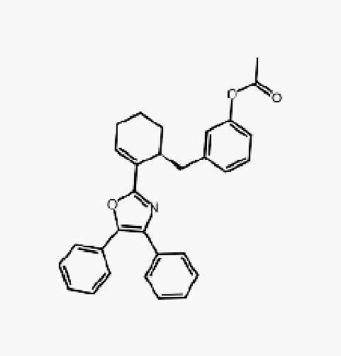 CC(=O)Oc1cccc(C[C@@H]2CCCC=C2c2nc(-c3ccccc3)c(-c3ccccc3)o2)c1